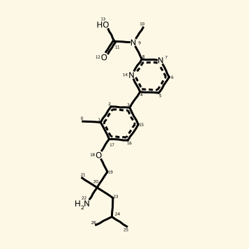 Cc1cc(-c2ccnc(N(C)C(=O)O)n2)ccc1OCC(C)(N)CC(C)C